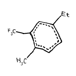 CCc1ccc(C)c(C(F)(F)F)c1